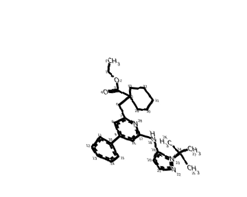 CCOC(=O)C1(Cc2cc(-c3ccccc3)cc(Nc3ccnn3C(C)(C)C)n2)CCCCC1